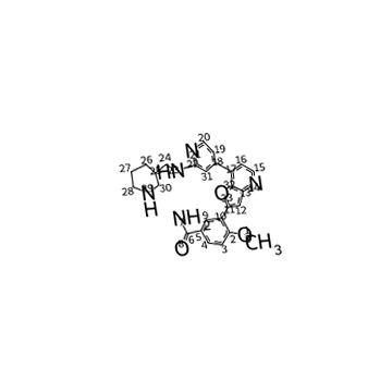 COc1ccc(C(N)=O)cc1-c1cc2nccc(-c3ccnc(NCC4CCCNC4)c3)c2o1